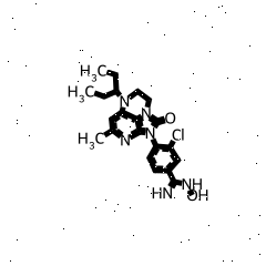 CCC(CC)N1CCn2c(=O)n(-c3ccc(C(=N)NO)cc3Cl)c3nc(C)cc1c32